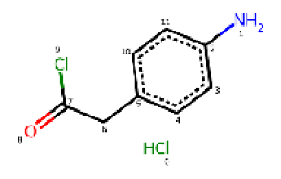 Cl.Nc1ccc(CC(=O)Cl)cc1